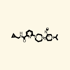 CC(C)N1CC[C@@H](N2CCCN(c3cccc(C(=O)NCC4CC4)n3)CC2)[C@H](N=O)C1